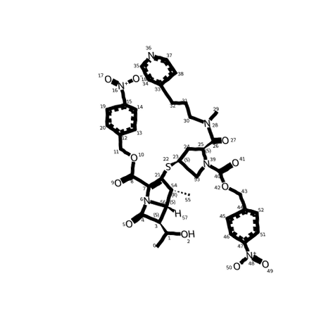 CC(O)[C@H]1C(=O)N2C(C(=O)OCc3ccc([N+](=O)[O-])cc3)=C(S[C@H]3C[C@@H](C(=O)N(C)CCCc4ccncc4)N(C(=O)OCc4ccc([N+](=O)[O-])cc4)C3)[C@H](C)[C@H]12